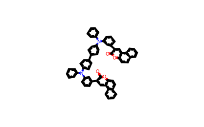 O=c1oc2ccc3ccccc3c2cc1-c1cccc(N(c2ccccc2)c2ccc(-c3ccc(N(c4ccccc4)c4cccc(-c5cc6c(ccc7ccccc76)oc5=O)c4)cc3)cc2)c1